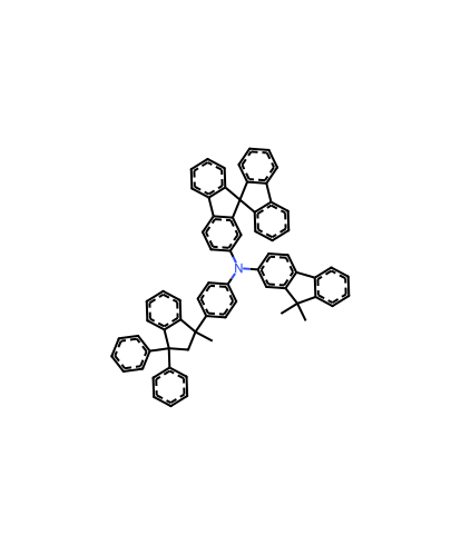 CC1(C)c2ccccc2-c2ccc(N(c3ccc(C4(C)CC(c5ccccc5)(c5ccccc5)c5ccccc54)cc3)c3ccc4c(c3)C3(c5ccccc5-c5ccccc53)c3ccccc3-4)cc21